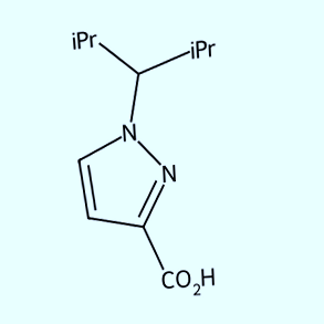 CC(C)C(C(C)C)n1ccc(C(=O)O)n1